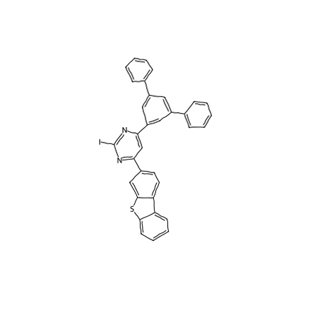 Ic1nc(-c2cc(-c3ccccc3)cc(-c3ccccc3)c2)cc(-c2ccc3c(c2)sc2ccccc23)n1